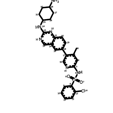 Cc1cc(NS(=O)(=O)c2ccccc2Cl)ncc1-c1ccc2nc(NC3CCC(N)CC3)ncc2c1